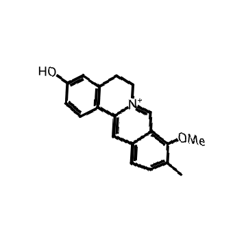 COc1c(C)ccc2cc3[n+](cc12)CCc1cc(O)ccc1-3